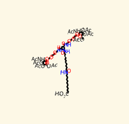 CC(=O)N[C@@H]1C(OCCOCCOCCNC(=O)c2cc(NC(=O)CCCCCCCCCCC(=O)NCCCCCCCCCCCC(=O)O)cc(C(=O)NCCOCCOCCOC3O[C@H](COC(C)=O)[C@H](OC(C)=O)[C@H](OC(C)=O)[C@H]3NC(C)=O)c2)O[C@@H](COC(C)=O)[C@@H](OC(C)=O)[C@H]1OC(C)=O